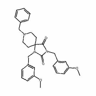 COc1cccc(CN2C(=O)N(Cc3cccc(OC)c3)C3(CCN(Cc4ccccc4)CC3)C2=O)c1